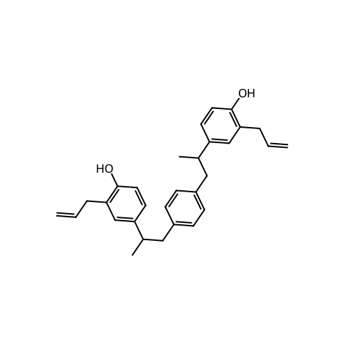 C=CCc1cc(C(C)Cc2ccc(CC(C)c3ccc(O)c(CC=C)c3)cc2)ccc1O